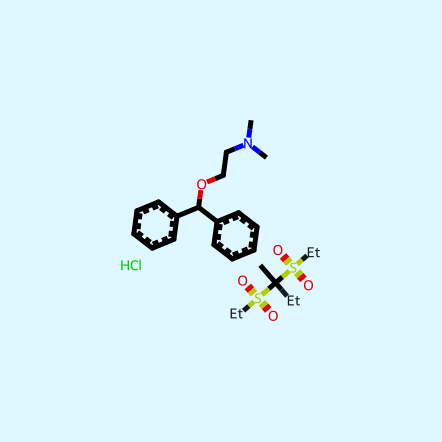 CCC(C)(S(=O)(=O)CC)S(=O)(=O)CC.CN(C)CCOC(c1ccccc1)c1ccccc1.Cl